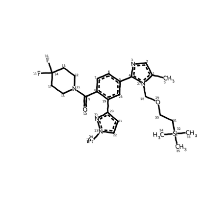 Cc1cnc(-c2ccc(C(=O)N3CCC(F)(F)CC3)c(-c3ccn(C(C)C)n3)c2)n1COCC[Si](C)(C)C